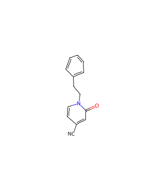 N#Cc1ccn(CCc2ccccc2)c(=O)c1